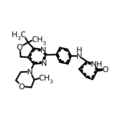 CC1COCCN1c1nc(-c2ccc(Nc3cccc(=O)[nH]3)cc2)nc2c1COC2(C)C